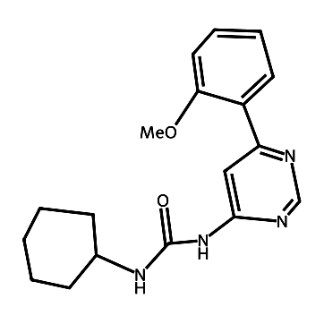 COc1ccccc1-c1cc(NC(=O)NC2CCCCC2)ncn1